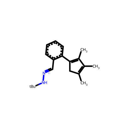 CC1=C(C)C(C)=C(c2ccccc2/C=N/NC(C)(C)C)C1